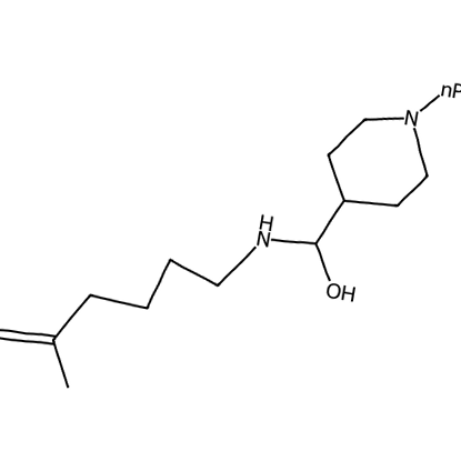 C=C(C)CCCCNC(O)C1CCN(CCC)CC1